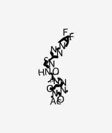 CC(=O)Cn1c(=O)c2c(ncn2[C@@H](C)C(=O)Nc2csc(-c3cnc(N4CC5C(C4)C5(F)F)nc3)n2)n(C)c1=O